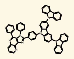 c1ccc(-c2nc3cccnc3c3nc(-c4ccc(-n5c6ccc(-n7c8ccccc8c8ccccc87)cc6c6cc(-n7c8ccccc8c8ccccc87)ccc65)cc4)n(-c4ccccc4)c23)cc1